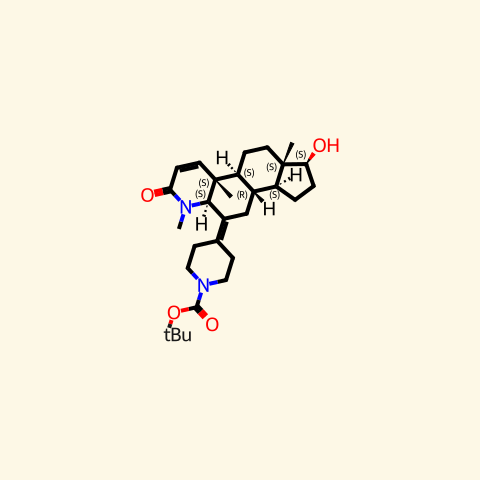 CN1C(=O)C=C[C@]2(C)[C@H]3CC[C@]4(C)[C@@H](O)CC[C@H]4[C@@H]3CC(=C3CCN(C(=O)OC(C)(C)C)CC3)[C@@H]12